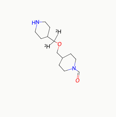 [2H]C([2H])(OCC1CCN(C=O)CC1)C1CCNCC1